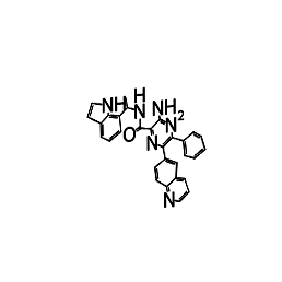 CC(NC(=O)c1nc(-c2ccc3ncccc3c2)c(-c2ccccc2)nc1N)c1cccc2cc[nH]c12